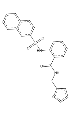 O=C(NCc1ccco1)c1ccccc1NS(=O)(=O)c1ccc2ccccc2c1